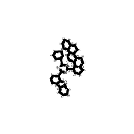 c1ccc(-c2nc(-c3cccc4c3oc3ccccc34)nc(-c3cccc4ccc5c6ccc7ccccc7c6ccc5c34)n2)cc1